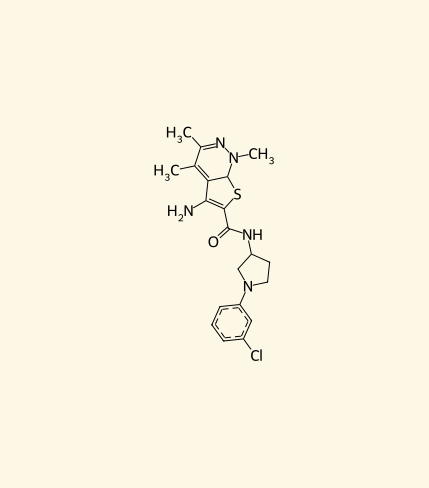 CC1=NN(C)C2SC(C(=O)NC3CCN(c4cccc(Cl)c4)C3)=C(N)C2=C1C